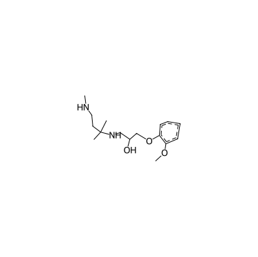 CNCCC(C)(C)NCC(O)COc1ccccc1OC